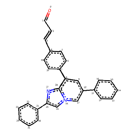 O=CC=Cc1ccc(-c2cc(-c3ccccc3)cn3cc(-c4ccccc4)nc23)cc1